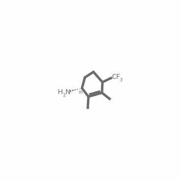 CC1=C(C)[C@H](N)CCC1C(F)(F)F